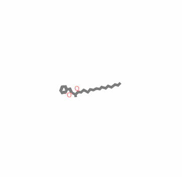 CCCCCCCCCCCCCCC(=O)C(C)c1cc2ccccc2o1